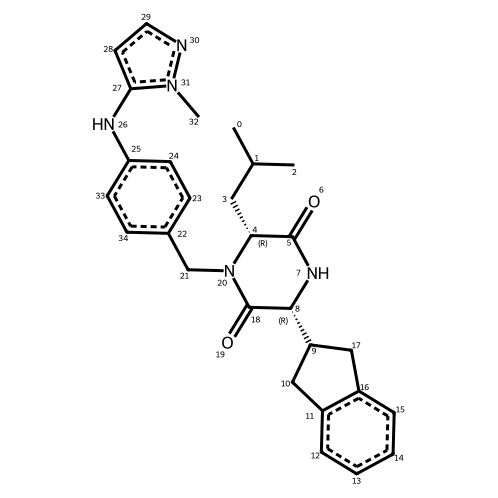 CC(C)C[C@@H]1C(=O)N[C@H](C2Cc3ccccc3C2)C(=O)N1Cc1ccc(Nc2ccnn2C)cc1